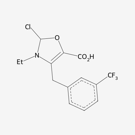 CCN1C(Cc2cccc(C(F)(F)F)c2)=C(C(=O)O)OC1Cl